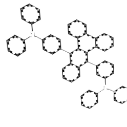 c1ccc(N(c2ccccc2)c2ccc(-c3c4ccccc4c(-c4cccc(N(c5ccccc5)c5ccccc5)c4)c4c5ccccc5c5ccccc5c34)cc2)cc1